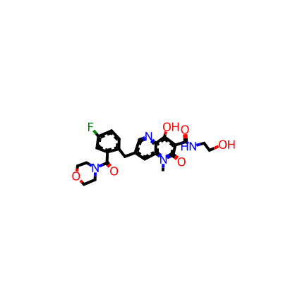 Cn1c(=O)c(C(=O)NCCO)c(O)c2ncc(Cc3ccc(F)cc3C(=O)N3CCOCC3)cc21